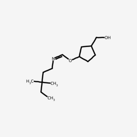 CCC(C)(C)CC/N=C\OC1CCC(CO)C1